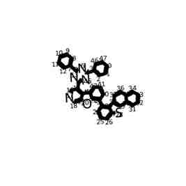 c1ccc(-c2nc(-c3ccccc3)nc(-c3cncc4oc5c(-c6cccc7sc8c9ccccc9ccc8c67)cccc5c34)n2)cc1